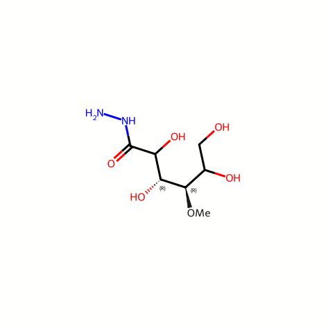 CO[C@H](C(O)CO)[C@H](O)C(O)C(=O)NN